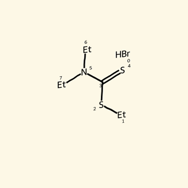 Br.CCSC(=S)N(CC)CC